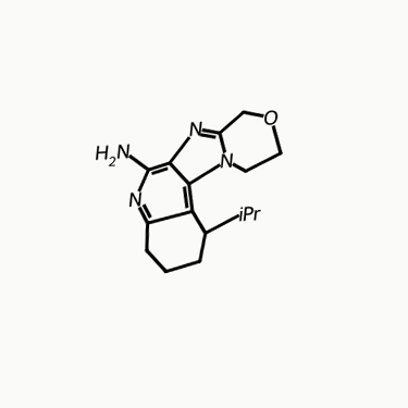 CC(C)C1CCCc2nc(N)c3nc4n(c3c21)CCOC4